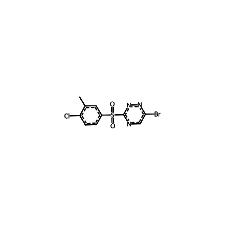 Cc1cc(S(=O)(=O)c2ncc(Br)nn2)ccc1Cl